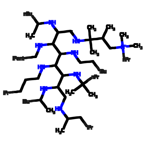 CCCCC(C)NC([CH]NC(C)(C)C(C)C[N+](C)(C)CCC)C(NCC(C)CCC)C(NCCC(C)CC)C(NCCCC(C)C)C(NC(C)(C)CCC)C(CNC(C)CC(C)C)NC(C)C(C)CC